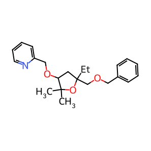 CCC1(COCc2ccccc2)CC(OCc2ccccn2)C(C)(C)O1